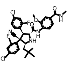 CNC(=O)c1ccc(NC(=O)[C@@H]2N[C@@H](CC(C)(C)C)[C@](C#N)(c3ccc(Cl)cc3F)[C@H]2c2ccc(Cl)cc2F)c(OC)c1